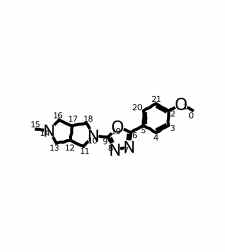 COc1ccc(-c2nnc(N3CC4CN(C)CC4C3)o2)cc1